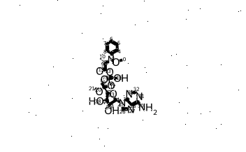 CON(c1ccccc1)[C@@H](C)C(=O)OP(=O)(O)OC(C)(OC)[C@H]1O[C@@H](n2cnc3c(N)ncnc32)[C@H](O)[C@@H]1O